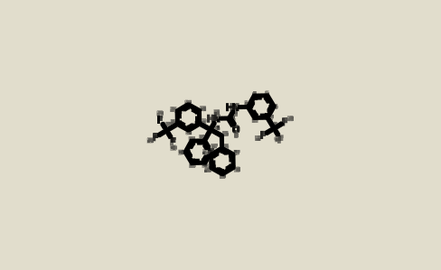 O=C(Nc1cccc(C(F)(F)F)c1)NC(Cc1ccccc1)(c1cccc(C(F)(F)F)c1)c1ccccn1